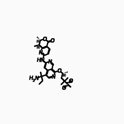 CCC(C)(N)c1cnc(O[C@H](C)CC(C)(C)S(C)(=O)=O)c2cnc(Nc3ccc4c(n3)[C@@H](C)[C@H](C)OC4=O)cc12